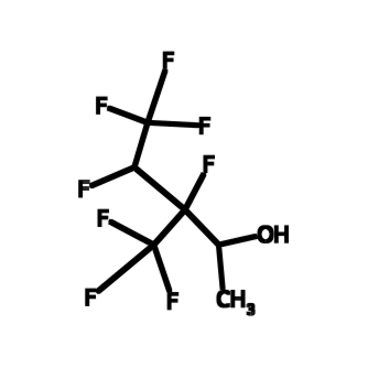 CC(O)C(F)(C(F)C(F)(F)F)C(F)(F)F